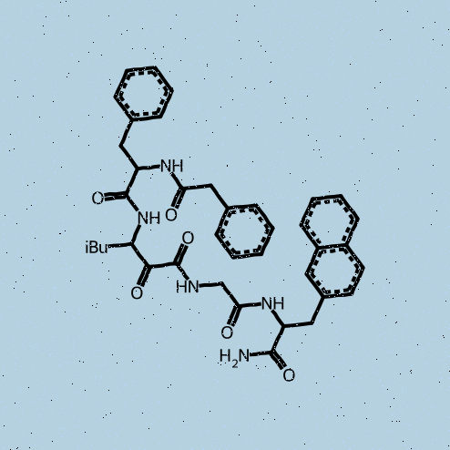 CCC(C)C(NC(=O)C(Cc1ccccc1)NC(=O)Cc1ccccc1)C(=O)C(=O)NCC(=O)NC(Cc1ccc2ccccc2c1)C(N)=O